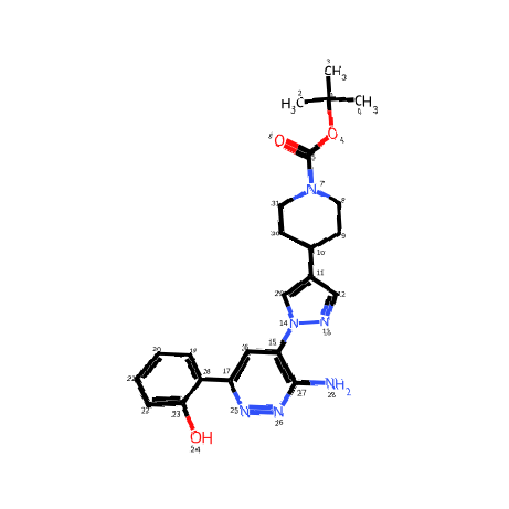 CC(C)(C)OC(=O)N1CCC(c2cnn(-c3cc(-c4ccccc4O)nnc3N)c2)CC1